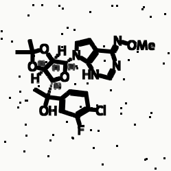 CON=c1nc[nH]c2c1ccn2[C@@H]1O[C@H](C(C)(O)c2ccc(Cl)c(F)c2)[C@H]2OC(C)(C)O[C@H]21